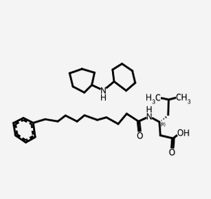 C1CCC(NC2CCCCC2)CC1.CC(C)C[C@H](CC(=O)O)NC(=O)CCCCCCCCCc1ccccc1